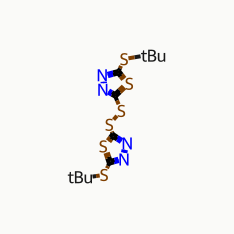 CC(C)(C)Sc1nnc(SSc2nnc(SC(C)(C)C)s2)s1